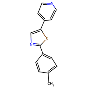 Cc1ccc(-c2ncc(-c3ccncc3)s2)cc1